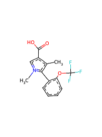 Cc1c(C(=O)O)cn(C)c1-c1ccccc1OC(F)(F)F